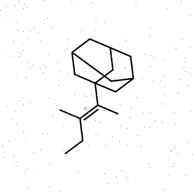 CC/C(C)=C(\C)C12CC3CC(CC(C3)C1)C2